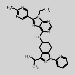 CCn1c(-c2cnc(C)nc2)nc2c(NC3CCc4c(c(C(C)C)nn4-c4ccccn4)C3)ncnc21